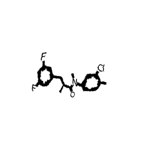 Cc1ccc(N(C)C(=O)[C@@H](C)Cc2cc(F)cc(F)c2)cc1Cl